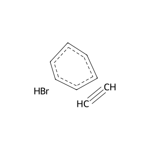 Br.C#C.c1ccccc1